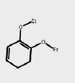 CCOC1=C(OCC)CCC=C1